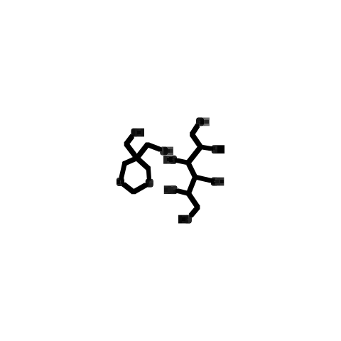 OCC(O)C(O)C(O)C(O)CO.OCC1(CO)COCOC1